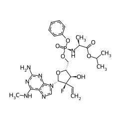 C=C[C@@]1(F)[C@H](O)[C@@H](CO[P@@](=O)(N[C@@H](C)C(=O)OC(C)C)Oc2ccccc2)O[C@H]1n1cnc2c(NC)nc(N)nc21